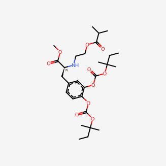 CCC(C)(C)OC(=O)Oc1ccc(C[C@H](NCCOC(=O)C(C)C)C(=O)OC)cc1OC(=O)OC(C)(C)CC